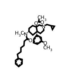 COc1cccc([C@@]23CCN(CC4CC4)C[C@@]2(OC(C)=O)CC[C@@H](N(C)C(=O)CCCCCc2ccccc2)C3)c1